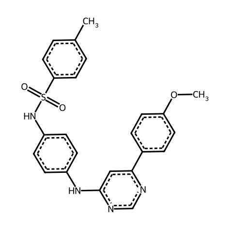 COc1ccc(-c2cc(Nc3ccc(NS(=O)(=O)c4ccc(C)cc4)cc3)ncn2)cc1